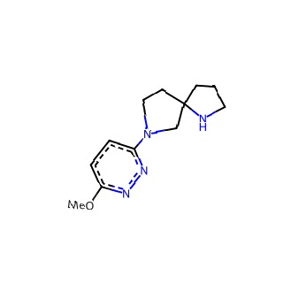 COc1ccc(N2CCC3(CCCN3)C2)nn1